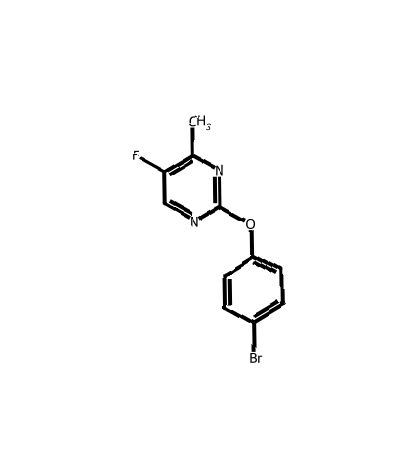 Cc1nc(Oc2ccc(Br)cc2)ncc1F